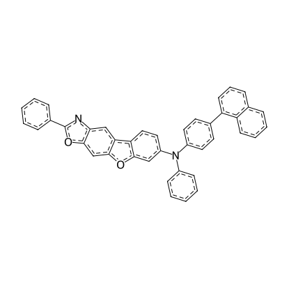 c1ccc(-c2nc3cc4c(cc3o2)oc2cc(N(c3ccccc3)c3ccc(-c5cccc6ccccc56)cc3)ccc24)cc1